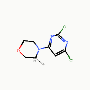 C[C@@H]1COCCN1c1cc(Cl)nc(Cl)n1